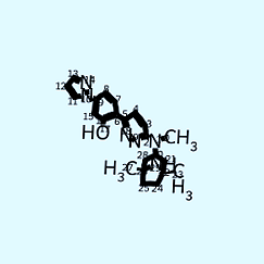 CN(c1ccc(-c2ccc(-n3cccn3)cc2O)nn1)C1C[C@]2(C)CC[C@](C)(C1)N2